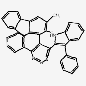 Cc1cc2c(c(-c3c(-c4ccccc4)nnnc3-c3[se]c4ccccc4c3-c3ccccc3)c1C)Cc1ccccc1-2